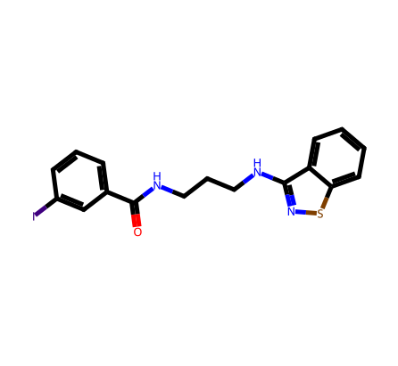 O=C(NCCCNc1nsc2ccccc12)c1cccc(I)c1